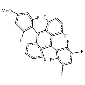 COc1cc(F)c(-c2c3cccc(F)c3c(-c3c(F)c(F)cc(F)c3F)c3c(F)ccc(F)c23)c(F)c1